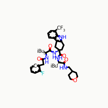 CCC(C)[C@H](NC(=O)Cc1ccccc1F)C(=O)N[C@]1(C(=O)N[C@H](C(=O)NCC2CCOCC2)C(C)CC)CCc2[nH]c3c(C(F)(F)F)cccc3c2C1